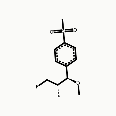 CO[C@H](c1ccc(S(C)(=O)=O)cc1)[C@H](C)CF